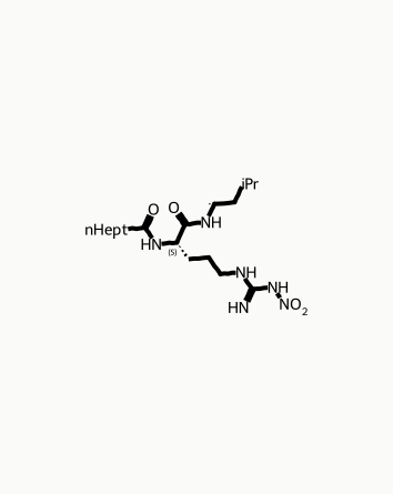 CCCCCCCC(=O)N[C@@H](CCCNC(=N)N[N+](=O)[O-])C(=O)N[CH]CC(C)C